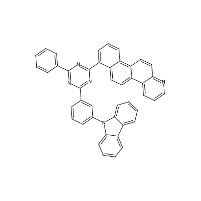 c1ccc(-c2nc(-c3cccc(-n4c5ccccc5c5ccccc54)c3)nc(-c3cccc4c3ccc3c5cccnc5ccc43)n2)cc1